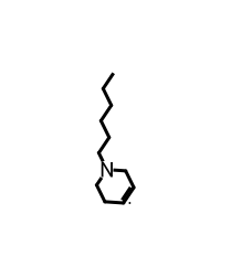 CCCCCCN1CC=[C]CC1